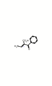 N/C=C(\C(=O)O)C(=O)c1ccccc1